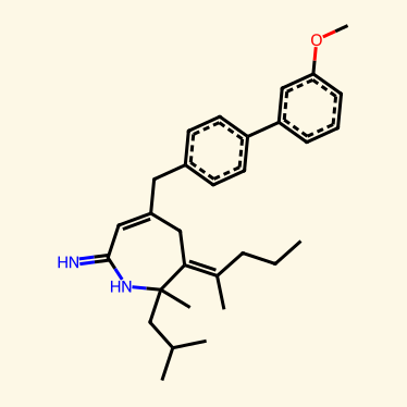 CCC/C(C)=C1\CC(Cc2ccc(-c3cccc(OC)c3)cc2)=CC(=N)NC1(C)CC(C)C